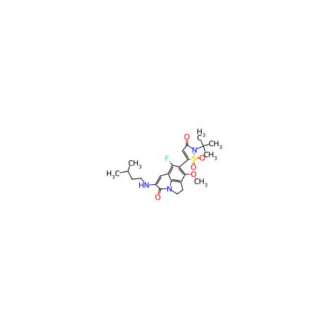 COc1c(C2=CC(=O)N(C(C)(C)C)S2(=O)=O)c(F)c2cc(NCCC(C)C)c(=O)n3c2c1CC3